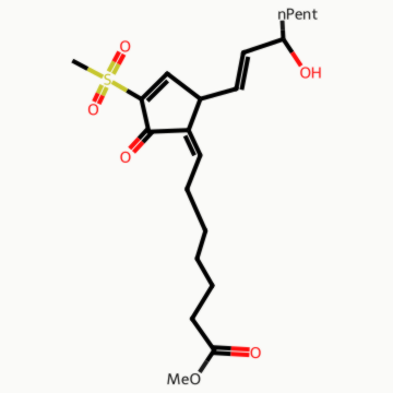 CCCCCC(O)/C=C/C1C=C(S(C)(=O)=O)C(=O)/C1=C\CCCCCC(=O)OC